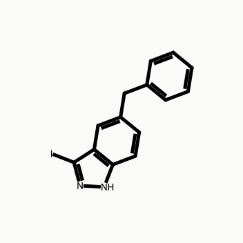 Ic1n[nH]c2ccc(Cc3ccccc3)cc12